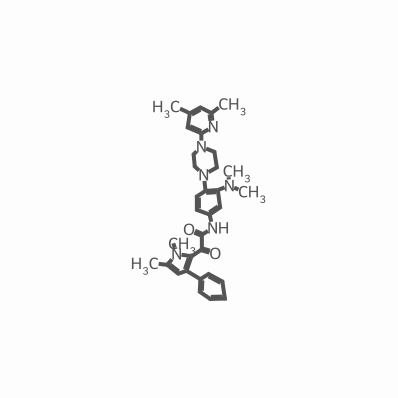 Cc1cc(C)nc(N2CCN(c3ccc(NC(=O)C(=O)c4c(-c5ccccc5)cc(C)n4C)cc3N(C)C)CC2)c1